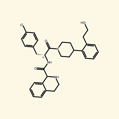 O=C(N[C@H](Cc1ccc(Cl)cc1)C(=O)N1CCC(c2ccccc2CCO)CC1)C1N[CH]Cc2ccccc21